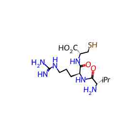 CC(C)[C@H](N)C(=O)N[C@@H](CCCNC(=N)N)C(=O)N[C@@H](CS)C(=O)O